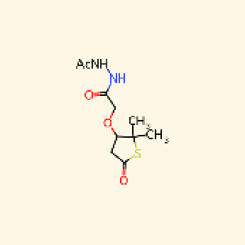 CC(=O)NNC(=O)COC1CC(=O)SC1(C)C